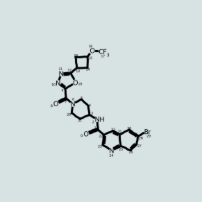 O=C(NC1CCN(C(=O)c2nnc(C3CC(OC(F)(F)F)C3)o2)CC1)c1cnc2ccc(Br)cc2c1